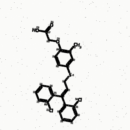 Cc1cc(SCC=C(c2ccccc2Cl)c2ccccc2Cl)ccc1OCC(=O)O